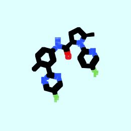 Cc1ccc(NC(=O)[C@H]2CC[C@@H](C)N2c2ccc(F)cn2)cc1-c1ncc(F)cn1